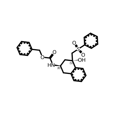 O=C(N[C@@H]1Cc2ccccc2[C@](O)(CS(=O)(=O)c2ccccc2)C1)OCc1ccccc1